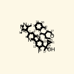 Cc1nnn(C)c1-c1cnc2c3cc(F)c(C(C)(O)C4CC4)cc3n([C@H](c3ccccc3F)C3CCOCC3)c2c1